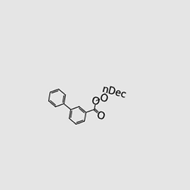 [CH2]CCCCCCCCCOOC(=O)c1cccc(-c2ccccc2)c1